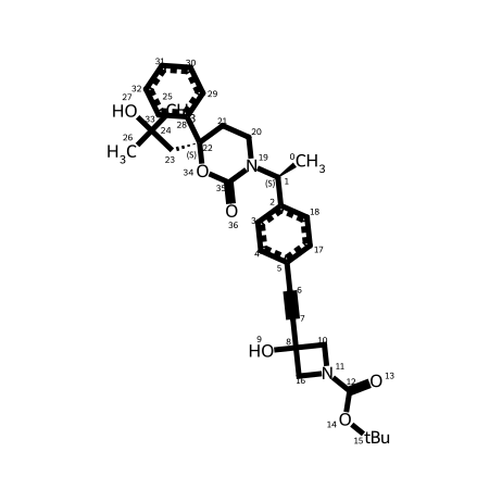 C[C@@H](c1ccc(C#CC2(O)CN(C(=O)OC(C)(C)C)C2)cc1)N1CC[C@](CC(C)(C)O)(c2ccccc2)OC1=O